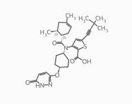 CC1=CC[C@H](C(=O)N(c2cc(C#CC(C)(C)C)sc2C(=O)O)[C@H]2CC[C@H](Oc3ccc(=O)[nH]n3)CC2)[C@@H](C)C1